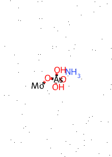 N.O=[As](O)(O)[O][Mo]